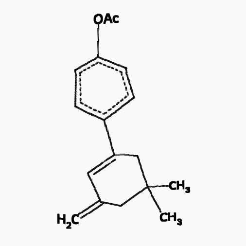 C=C1C=C(c2ccc(OC(C)=O)cc2)CC(C)(C)C1